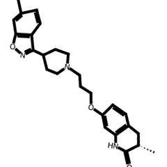 C[C@H]1Cc2ccc(OCCCN3CCC(c4noc5cc(F)ccc45)CC3)cc2NC1=O